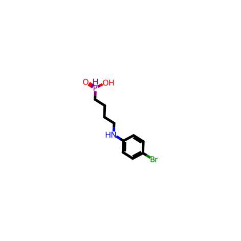 O=[PH](O)CCCCNc1ccc(Br)cc1